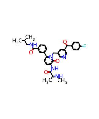 CN[C@@H](C)C(=O)Nc1ccc(-c2cccc(C(=O)NCC(C)C)c2)n(Cc2cncc(C(=O)c3ccc(F)cc3)c2)c1=O